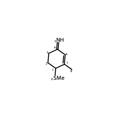 CSC1CCC(=N)C=C1C